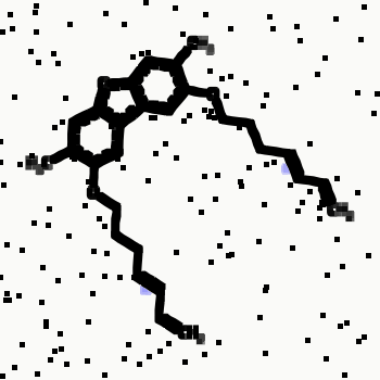 C=C/C=C/CCCOc1cc2c(cc1C)oc1cc(C)c(OCCC/C=C/C=C)cc12